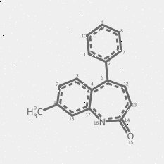 Cc1ccc2c(-c3ccccc3)ccc(=O)nc2c1